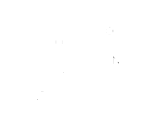 CO/N=C(/C)C(=O)P